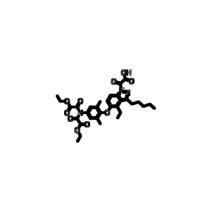 CCCCCc1nn(C(=O)C(=O)O)c2ccc(Oc3c(C)cc(N(C(=O)C(=O)OCC)C(=O)C(=O)OCC)cc3C)c(CC)c12